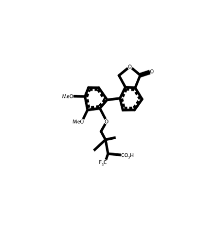 COc1ccc(-c2cccc3c2COC3=O)c(OCC(C)(C)C(C(=O)O)C(F)(F)F)c1OC